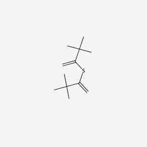 C=C(SC(=C)C(C)(C)C)C(C)(C)C